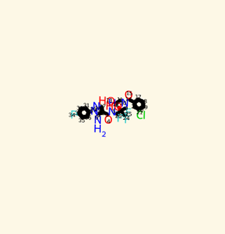 Nc1c(C(=O)NCC(O)(CN(CCO)C(=O)c2cccc(Cl)c2)C(F)(F)F)cnn1-c1ccc(F)cc1